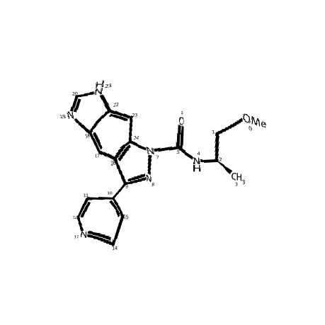 COC[C@@H](C)NC(=O)n1nc(-c2ccncc2)c2cc3nc[nH]c3cc21